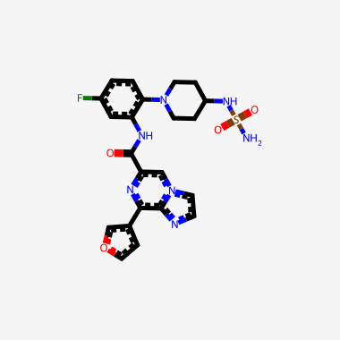 NS(=O)(=O)NC1CCN(c2ccc(F)cc2NC(=O)c2cn3ccnc3c(-c3ccoc3)n2)CC1